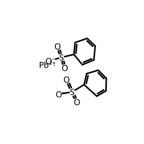 O=S(=O)([O-])c1ccccc1.O=S(=O)([O-])c1ccccc1.[Pb+2]